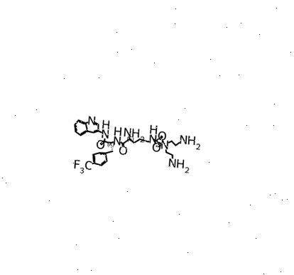 NCCN(CCN)S(=O)(=O)NCCC[C@H](N)C(=O)N[C@H](Cc1ccc(C(F)(F)F)cc1)C(=O)Nc1cnc2ccccc2c1